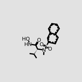 CC(C)[C@H](C(=O)NO)N(C)S(=O)(=O)c1ccc2ccccc2c1